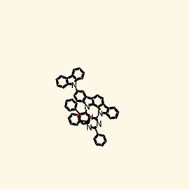 c1ccc(-c2nc(-c3ccccc3)nc(-n3c4ccccc4c4ccc5c6cc(-n7c8ccccc8c8ccccc87)ccc6n(-c6ccccc6-c6ccccc6)c5c43)n2)cc1